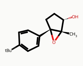 CC(C)(C)c1ccc([C@@]23CC[C@H](O)[C@]2(C)O3)cc1